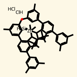 Cc1cc(C)cc(-c2ccc(-c3cc(C)cc(C)c3)c3c2C=C(C(C)(C)C)[CH]3[Zr]([CH3])([CH3])(=[SiH2])[CH]2C(C(C)(C)C)=Cc3c(-c4cc(C)cc(C)c4)ccc(-c4cc(C)cc(C)c4)c32)c1.Cl.Cl